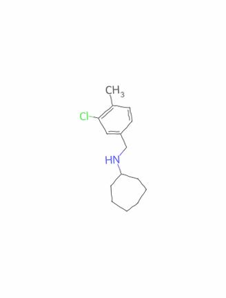 Cc1ccc(CNC2CCCCCC2)cc1Cl